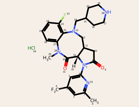 Cc1cc(C(F)(F)F)cc(N2C(=O)CC3CN(CC4CCNCC4)c4c(F)cccc4N(C)C(=O)[C@H]32)n1.Cl